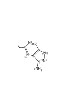 Cc1ncc2[nH]nc(N)c2n1